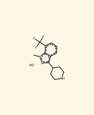 Cl.Cn1nc(C2CCNCC2)c2cccc(C(F)(F)F)c21